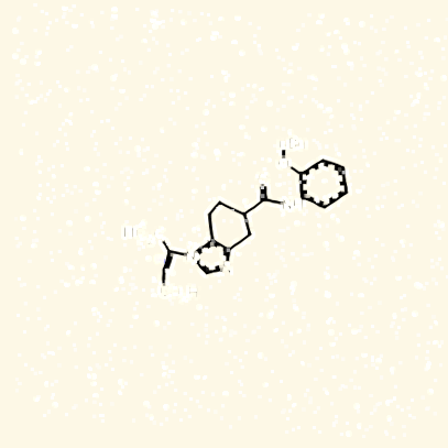 CCCCOc1ccccc1NC(=O)C1CCc2c(ncn2/C(=C\C(=O)O)C(=O)O)C1